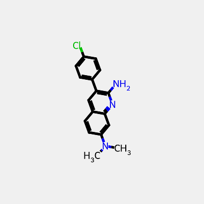 CN(C)c1ccc2cc(-c3ccc(Cl)cc3)c(N)nc2c1